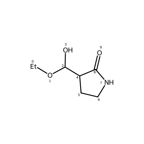 CCOC(O)C1CCNC1=O